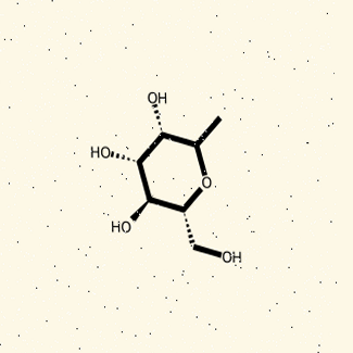 C[C]1O[C@H](CO)[C@@H](O)[C@H](O)[C@@H]1O